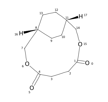 O=C1CCC(=O)OC[C@H]2CC[C@H](CC2)CO1